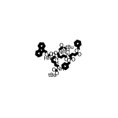 CC(C)(C)OC(=O)CNC(=O)C(CCC(=O)NC(CCC(=O)OCc1ccccc1)C(=O)OCc1ccccc1)NC(=O)C(CCCCNC(=O)OC(C)(C)C)NC(=O)OCC1c2ccccc2-c2ccccc21